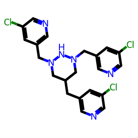 Clc1cncc(CC2CN(Cc3cncc(Cl)c3)NN(Cc3cncc(Cl)c3)C2)c1